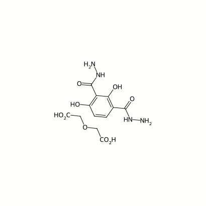 NNC(=O)c1ccc(O)c(C(=O)NN)c1O.O=C(O)COCC(=O)O